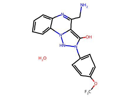 NCC1=Nc2ccccc2N2NN(c3ccc(OC(F)(F)F)cc3)C(O)=C12.O